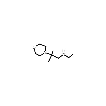 CCNCC(C)(C)N1CCOCC1